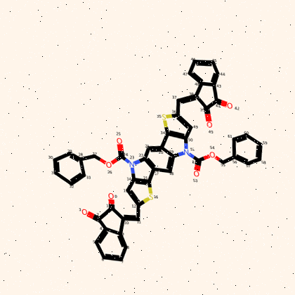 O=C1C(=O)c2ccccc2/C1=C/c1cc2c(s1)c1cc3c(cc1n2C(=O)OCc1ccccc1)c1sc(/C=C2\C(=O)C(=O)c4ccccc42)cc1n3C(=O)OCc1ccccc1